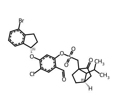 CC(C)C1[C@@H]2CCC1(CS(=O)(=O)Oc1cc(O[C@H]3CCc4c(Br)cccc43)c(Cl)cc1C=O)C(=O)C2